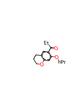 CCCOc1cc2c(cc1C(=O)CC)CCCO2